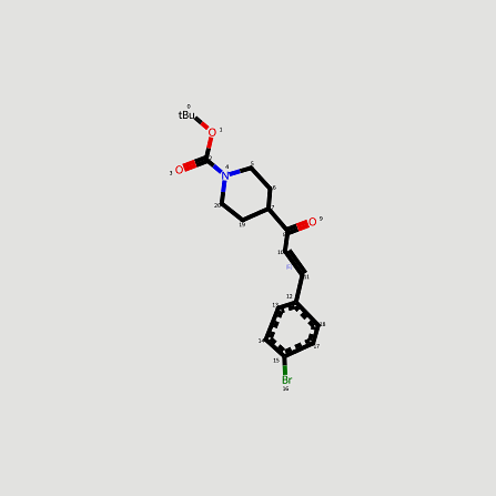 CC(C)(C)OC(=O)N1CCC(C(=O)/C=C/c2ccc(Br)cc2)CC1